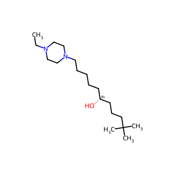 CCN1CCN(CCCCC[C@@H](O)CCCC(C)(C)C)CC1